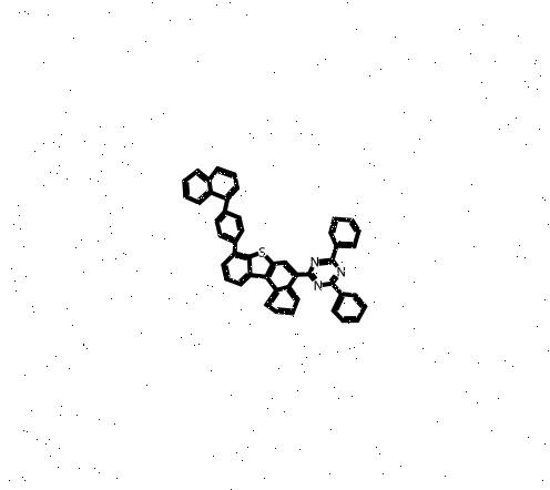 c1ccc(-c2nc(-c3ccccc3)nc(-c3cc4sc5c(-c6ccc(-c7cccc8ccccc78)cc6)cccc5c4c4ccccc34)n2)cc1